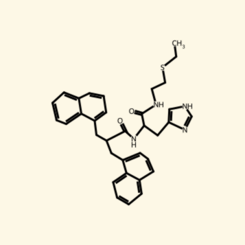 CCSCCNC(=O)C(Cc1c[nH]cn1)NC(=O)C(Cc1cccc2ccccc12)Cc1cccc2ccccc12